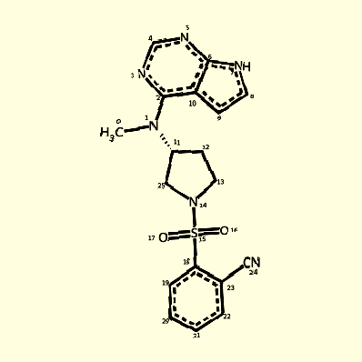 CN(c1ncnc2[nH]ccc12)[C@@H]1CCN(S(=O)(=O)c2ccccc2C#N)C1